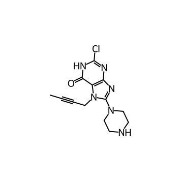 CC#CCn1c(N2CCNCC2)nc2nc(Cl)[nH]c(=O)c21